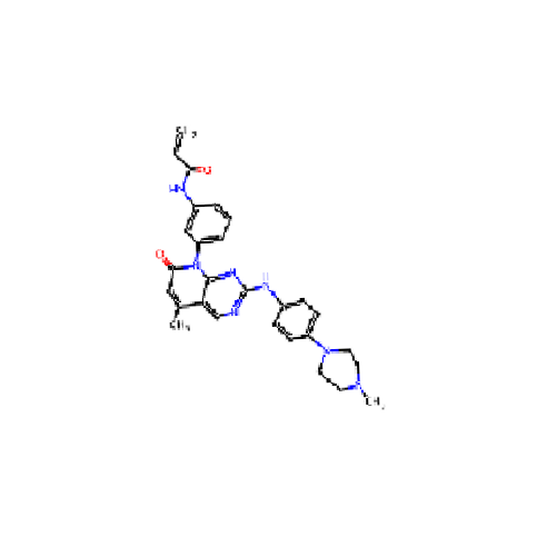 C=CC(=O)Nc1cccc(-n2c(=O)cc(C)c3cnc(Nc4ccc(N5CCN(C)CC5)cc4)nc32)c1